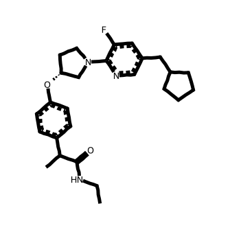 CCNC(=O)C(C)c1ccc(O[C@@H]2CCN(c3ncc(CC4CCCC4)cc3F)C2)cc1